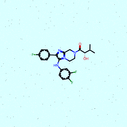 CC(C)[C@H](O)C(=O)N1CCn2c(nc(-c3ccc(F)cc3)c2Nc2ccc(F)c(F)c2)C1